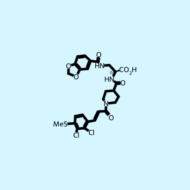 CSc1ccc(C=CC(=O)N2CCC(C(=O)N[C@@H](CNC(=O)c3ccc4c(c3)OCO4)C(=O)O)CC2)c(Cl)c1Cl